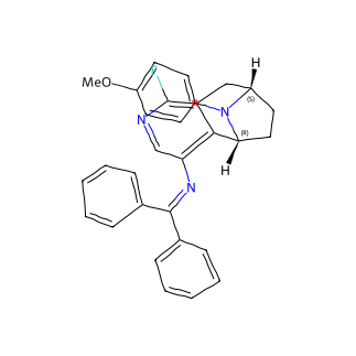 COc1ccc(N2[C@H]3CC[C@@H]2c2c(N=C(c4ccccc4)c4ccccc4)cnc(F)c2C3)cc1